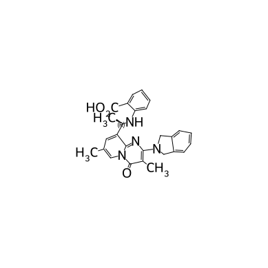 Cc1cc([C@@H](C)Nc2ccccc2C(=O)O)c2nc(N3Cc4ccccc4C3)c(C)c(=O)n2c1